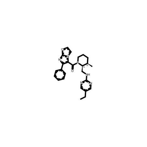 CCc1cnc(NC[C@@H]2[C@H](C)CCCN2C(=O)c2c(-c3ccccc3)nc3occn23)nc1